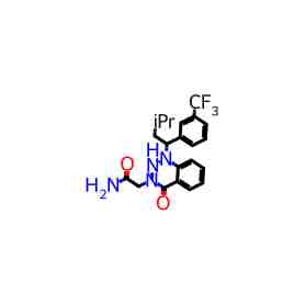 CC(C)CC(c1cccc(C(F)(F)F)c1)N1NN(CC(N)=O)C(=O)c2ccccc21